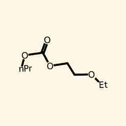 [CH2]CCOC(=O)OCCOCC